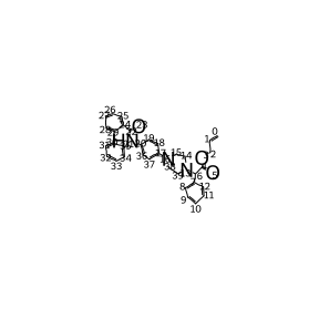 C=CCOC(=O)C(c1ccccc1)N1CCN(c2ccc(NC(=O)c3ccccc3-c3ccccc3)cc2)CC1